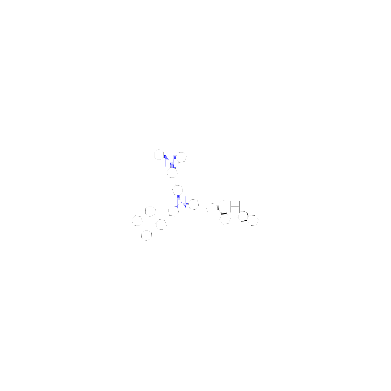 CC1(c2cccc(-c3ccc4ccccc4c3)c2)C=CC(c2ccc(N(c3ccc(-c4ccc5c(c4)C(c4ccccc4)(c4ccccc4)c4ccccc4-5)cc3)c3ccc(-c4ccc5c(c4)c4ccccc4n5-c4ccccc4)cc3)cc2)=CC1